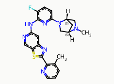 Cc1cccnc1-c1nc2cc(Nc3nc(N4C[C@@H]5C[C@H]4CN5C)ccc3F)ncc2s1